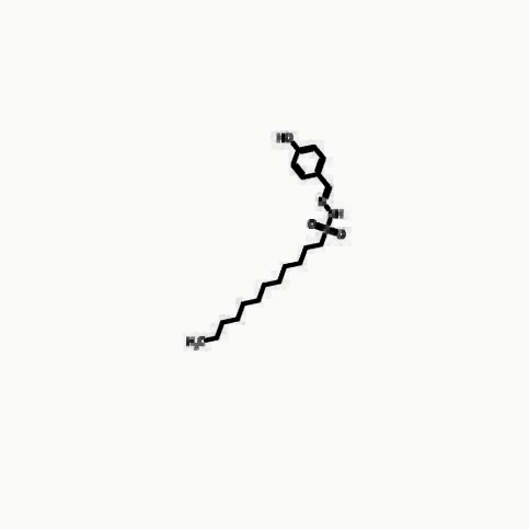 CCCCCCCCCCCCS(=O)(=O)NN=Cc1ccc(O)cc1